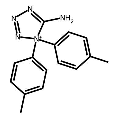 Cc1ccc([N+]2(c3ccc(C)cc3)N=NN=C2N)cc1